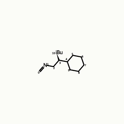 C=NCC(C1CCCCC1)[C@H](C)CC